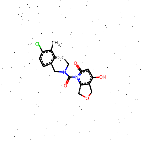 Cc1cc(CN(CC(=O)O)C(=O)n2c3c(c(O)cc2=O)COC3)ccc1Cl